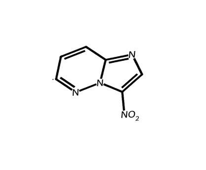 O=[N+]([O-])c1cnc2cc[c]nn12